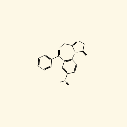 O=C1CN=C2CN=C(c3ccccc3)c3cc([N+](=O)[O-])ccc3N12